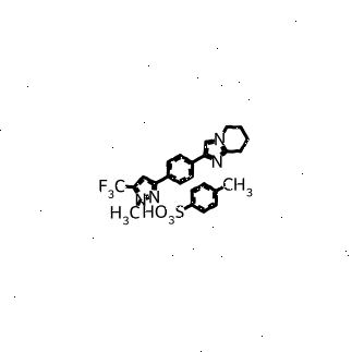 Cc1ccc(S(=O)(=O)O)cc1.Cn1nc(-c2ccc(-c3cn4c(n3)CCCC4)cc2)cc1C(F)(F)F